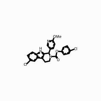 COc1ccc(C2c3[nH]c4ccc(Cl)cc4c3CCN2C(=O)Oc2ccc(Cl)cc2)cn1